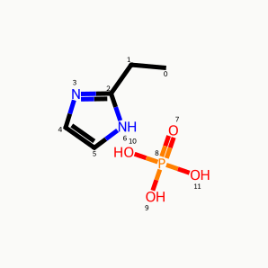 CCc1ncc[nH]1.O=P(O)(O)O